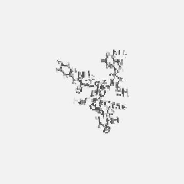 CO[C@H]1C(OP(=O)(OC[C@H]2O[C@@H](n3cnc4c(N)ccnc43)CC2O)SCOC(=O)C(N)Cc2ccccc2)[C@@H](CO)O[C@H]1n1ccc(=O)[nH]c1=O